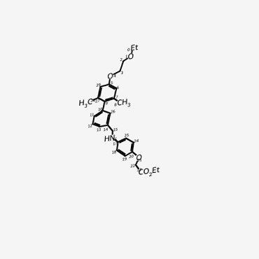 CCOCCOc1cc(C)c(-c2cccc(CNc3ccc(OCC(=O)OCC)cc3)c2)c(C)c1